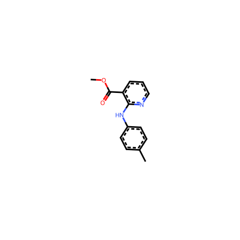 COC(=O)c1cccnc1Nc1ccc(C)cc1